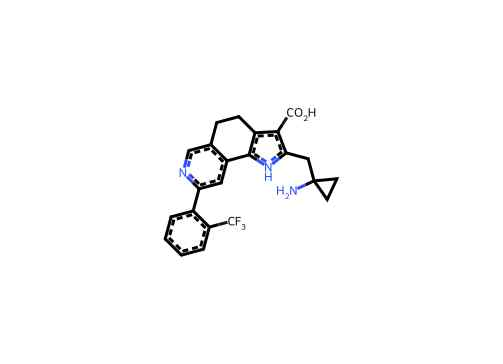 NC1(Cc2[nH]c3c(c2C(=O)O)CCc2cnc(-c4ccccc4C(F)(F)F)cc2-3)CC1